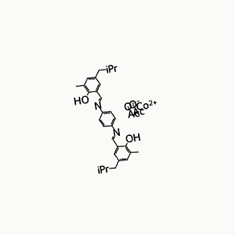 CC(=O)[O-].CC(=O)[O-].Cc1cc(CC(C)C)cc(C=Nc2ccc(N=Cc3cc(CC(C)C)cc(C)c3O)cc2)c1O.[Co+2]